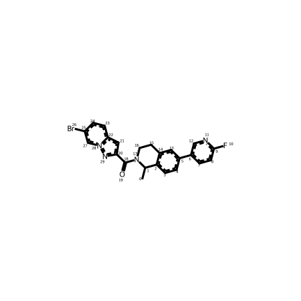 CC1c2ccc(-c3ccc(F)nc3)cc2CCN1C(=O)c1cc2ccc(Br)cn2n1